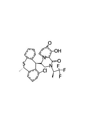 C[C@@H]1Sc2ccccc2[C@@H](C2CN([C@H](C)C(F)(F)F)C(=O)c3c(O)c(=O)ccn32)c2c(Cl)cccc21